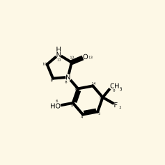 CC1(F)C=CC(O)=C(N2CCNC2=O)C1